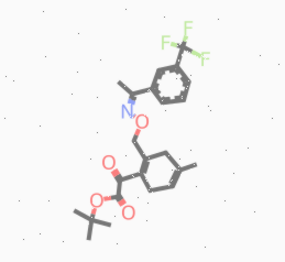 CC1=CCC(C(=O)C(=O)OC(C)(C)C)=C(CON=C(C)c2cccc(C(F)(F)F)c2)C1